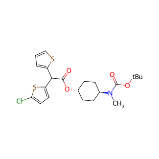 CN(C(=O)OC(C)(C)C)[C@H]1CC[C@H](OC(=O)C(c2cccs2)c2ccc(Cl)s2)CC1